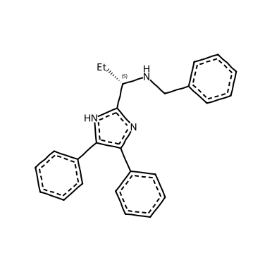 CC[C@H](NCc1ccccc1)c1nc(-c2ccccc2)c(-c2ccccc2)[nH]1